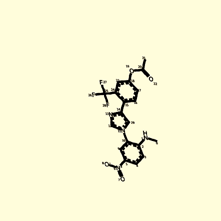 CNc1ccc([N+](=O)[O-])cc1-n1cnc(-c2ccc(OC(C)=O)cc2C(F)(F)F)c1